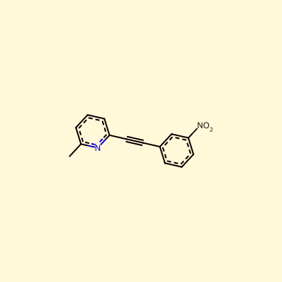 Cc1cccc(C#Cc2cccc([N+](=O)[O-])c2)n1